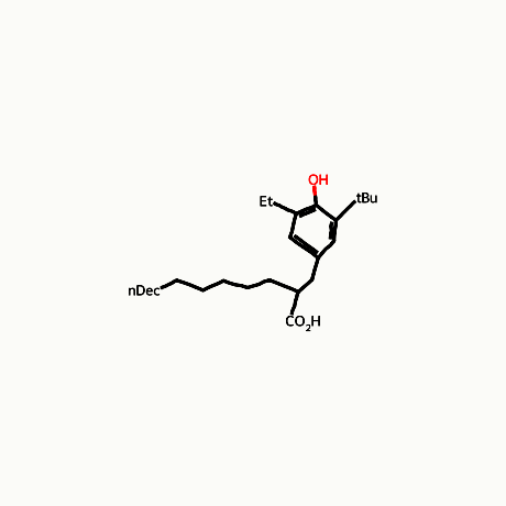 CCCCCCCCCCCCCCCC(Cc1cc(CC)c(O)c(C(C)(C)C)c1)C(=O)O